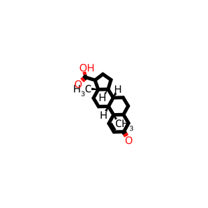 C[C@]12C=CC(=O)CC1CC[C@@H]1[C@H]2CC[C@]2(C)C(C(=O)O)CC[C@@H]12